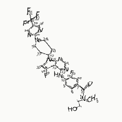 CN(CCO)C(=O)c1ccc(Nc2ncnc3c2c(F)cn3C2CCN(c3ncc(C(F)(F)F)cn3)CC2)c(F)c1